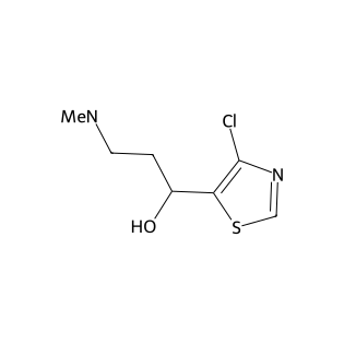 CNCCC(O)c1scnc1Cl